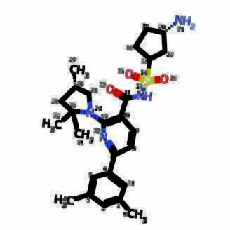 Cc1cc(C)cc(-c2ccc(C(=O)NS(=O)(=O)C3CC[C@H](N)C3)c(N3C[C@@H](C)CC3(C)C)n2)c1